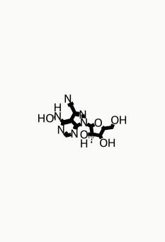 C[C@@]1(O)C(O)C(CO)OC1n1nc(C#N)c2c(NO)ncnc21